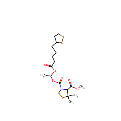 COC(=O)C1N(C(=O)OC(C)OC(=O)CCCCC2CCSS2)CSC1(C)C